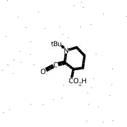 CC(C)(C)N1CCCC(C(=O)O)C1=C=O